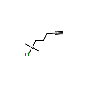 C#CCCC[Si](C)(C)Cl